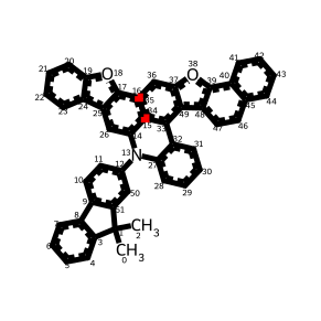 CC1(C)c2ccccc2-c2ccc(N(c3ccc4oc5ccccc5c4c3)c3ccccc3-c3cccc4oc5c6ccccc6ccc5c34)cc21